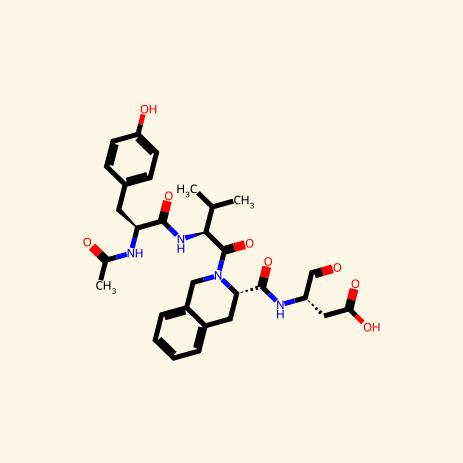 CC(=O)N[C@@H](Cc1ccc(O)cc1)C(=O)N[C@H](C(=O)N1Cc2ccccc2C[C@H]1C(=O)N[C@H](C=O)CC(=O)O)C(C)C